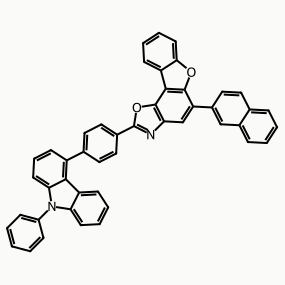 c1ccc(-n2c3ccccc3c3c(-c4ccc(-c5nc6cc(-c7ccc8ccccc8c7)c7oc8ccccc8c7c6o5)cc4)cccc32)cc1